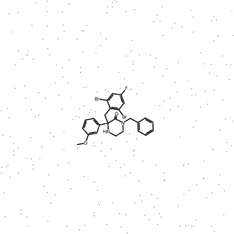 COc1cccc(C2(Cc3c(Br)cc(F)cc3Br)NCCN(Cc3ccccc3)C2=O)c1